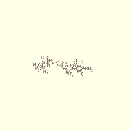 COc1cc(N)c(Cl)cc1C(=O)N[C@@H]1CCN(CCCCN(C)C(=O)OC(C)(C)C)C[C@@H]1OC